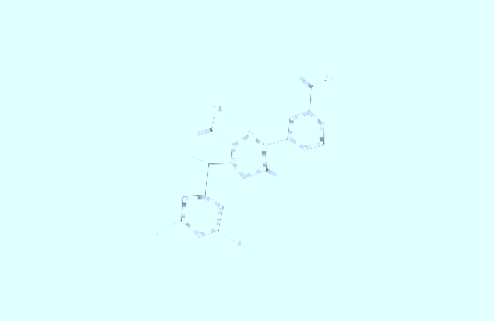 CC(c1cc(N)cc(C(F)(F)F)c1)c1cc(=O)n(-c2cccc(C(N)=O)c2)nc1C(N)=O